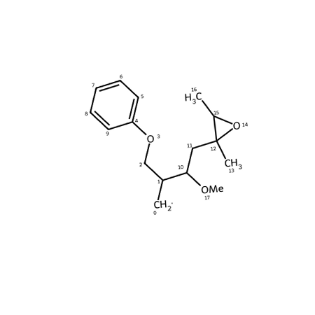 [CH2]C(COc1ccccc1)C(CC1(C)OC1C)OC